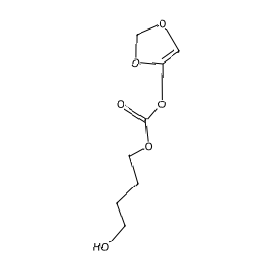 O=C(OCCCCO)OC1=COCO1